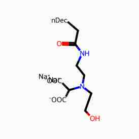 CCCCCCCCCCCC(=O)NCCN(CCO)C(C(=O)[O-])C(=O)[O-].[Na+].[Na+]